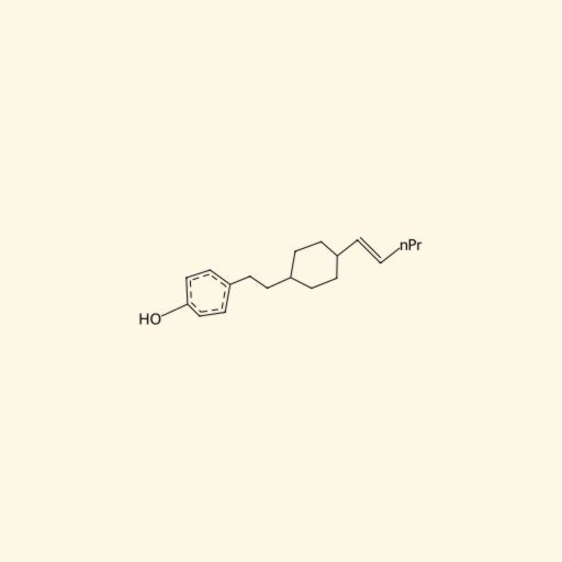 CCCC=CC1CCC(CCc2ccc(O)cc2)CC1